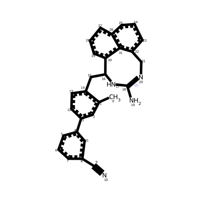 Cc1cc(-c2cccc(C#N)c2)ccc1CC1N/C(N)=N\Cc2cccc3cccc1c23